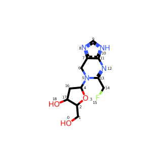 OCC1OC(N2Cc3nc[nH]c3N=C2CF)CC1O